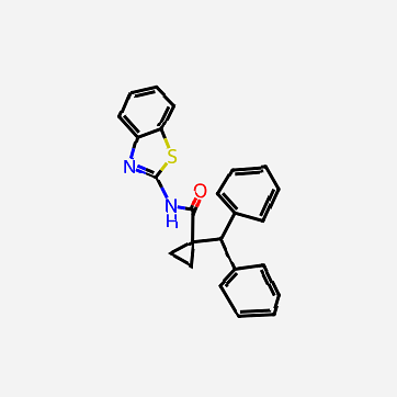 O=C(Nc1nc2ccccc2s1)C1(C(c2ccccc2)c2ccccc2)CC1